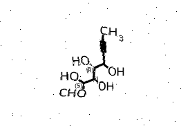 CC#CC(O)[C@@H](O)[C@@H](O)[C@H](O)C=O